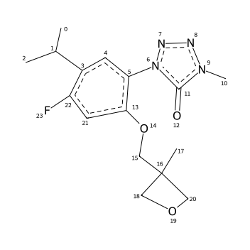 CC(C)c1cc(-n2nnn(C)c2=O)c(OCC2(C)COC2)cc1F